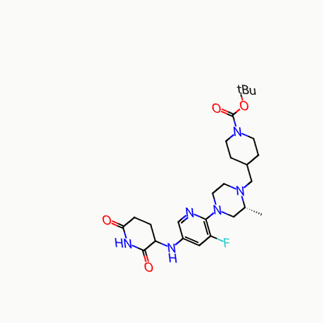 C[C@@H]1CN(c2ncc(NC3CCC(=O)NC3=O)cc2F)CCN1CC1CCN(C(=O)OC(C)(C)C)CC1